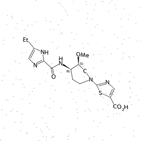 CCc1cnc(C(=O)N[C@@H]2CCN(c3ncc(C(=O)O)s3)C[C@@H]2OC)[nH]1